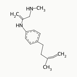 C=C=C(C)CCc1ccc(NC(=C)CNC)cc1